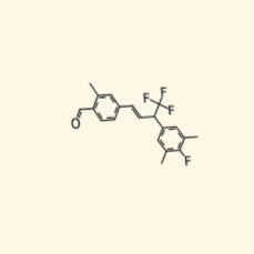 Cc1cc(/C=C/C(c2cc(C)c(F)c(C)c2)C(F)(F)F)ccc1C=O